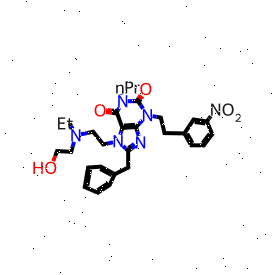 CCCn1c(=O)c2c(nc(Cc3ccccc3)n2CCN(CC)CCO)n(CCc2cccc([N+](=O)[O-])c2)c1=O